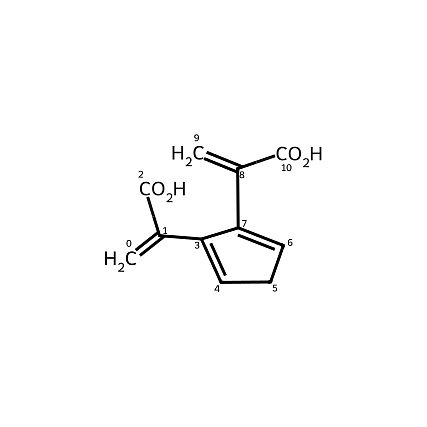 C=C(C(=O)O)C1=CCC=C1C(=C)C(=O)O